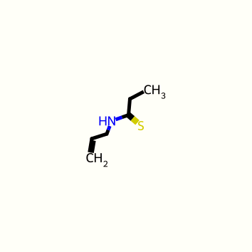 C=CCNC(=S)CC